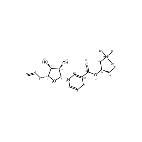 C=CC[C@H]1O[C@@H](N2C=CCC(C(=O)O[C@H](CC)C[N+](C)(C)C)=C2)[C@H](O)[C@@H]1O